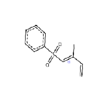 C=C/C(C)=C/S(=O)(=O)c1ccccc1